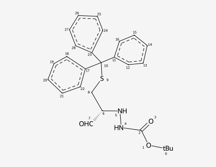 CC(C)(C)OC(=O)NN[C@H](C=O)CSC(c1ccccc1)(c1ccccc1)c1ccccc1